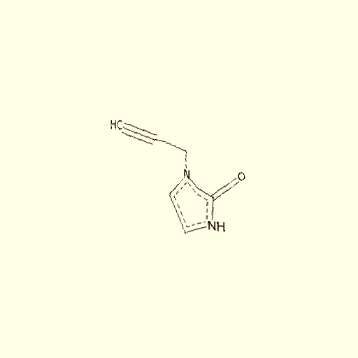 C#CCn1cc[nH]c1=O